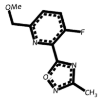 COCc1ccc(F)c(-c2nc(C)no2)n1